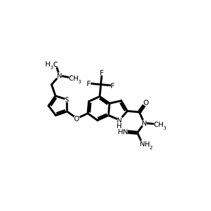 CN(C)Cc1ccc(Oc2cc(C(F)(F)F)c3cc(C(=O)N(C)C(=N)N)[nH]c3c2)s1